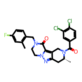 Cc1cc(F)ccc1CN1CCn2nc3c(c2C1=O)CN(C(=O)c1ccc(Cl)c(Cl)c1)[C@H](C)C3